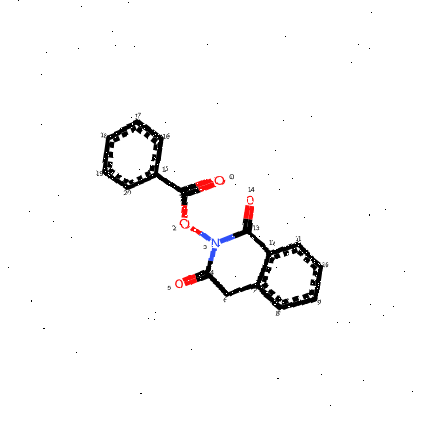 O=C(ON1C(=O)Cc2ccccc2C1=O)c1ccccc1